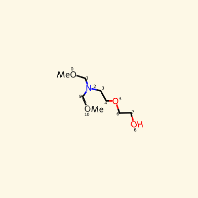 COCN(CCOCCO)COC